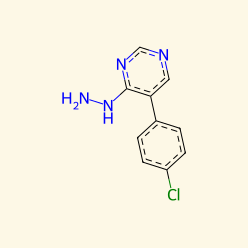 NNc1ncncc1-c1ccc(Cl)cc1